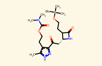 Cc1[nH]nc(C(=O)C[C@H]2NC(=O)C2CCO[Si](C)(C)C(C)(C)C)c1CCOC(=O)N(C)C